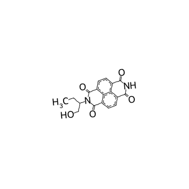 CCC(CO)N1C(=O)c2ccc3c4c(ccc(c24)C1=O)C(=O)NC3=O